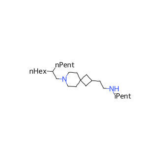 CCCCCCC(CCCCC)CN1CCC2(CC1)CC(CCNC(C)CCC)C2